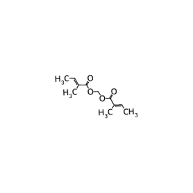 C/C=C(\C)C(=O)OCOC(=O)/C(C)=C/C